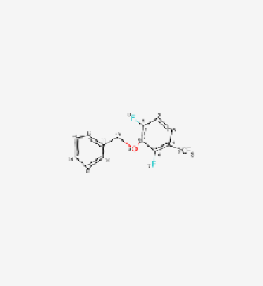 Fc1ccc(C(F)(F)F)c(F)c1OCc1ccccc1